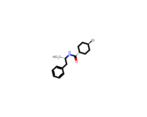 CC[C@H]1CC[C@H](C(=O)N[C@H](Cc2ccccc2)C(=O)O)CC1